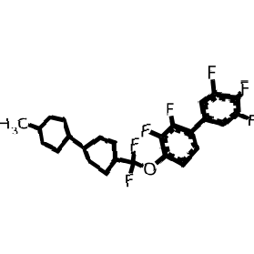 CC1CCC(C2CCC(C(F)(F)Oc3ccc(-c4cc(F)c(F)c(F)c4)c(F)c3F)CC2)CC1